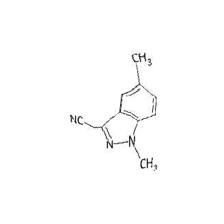 Cc1ccc2c(c1)c(C#N)nn2C